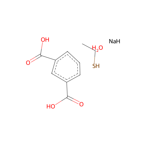 CCS.O.O=C(O)c1cccc(C(=O)O)c1.[NaH]